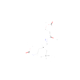 CC1(C)CC(NC(=O)OC(C)(C)C)CC(C)(CNC(=O)C2COC(=O)O2)C1